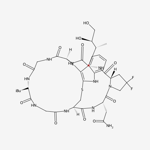 CC[C@H](C)[C@@H]1NC(=O)CNC(=O)[C@@H]2Cc3c([nH]c4ccccc34)SC[C@H](NC(=O)CNC1=O)C(=O)N[C@@H](CC(N)=O)C(=O)N1CC(F)(F)C[C@H]1C(=O)N[C@@H]([C@@H](C)[C@@H](O)CO)C(=O)N2